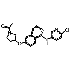 CC(=O)N1CCC(Oc2ccc3c(Nc4ccc(Cl)nc4)nccc3c2)C1